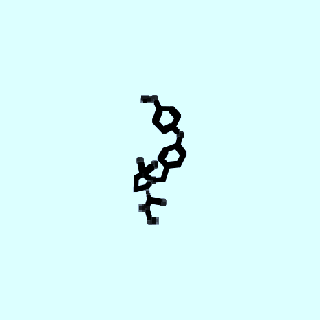 COc1ccc(Oc2ccc(CN3[C@H](C(=O)NO)CCS3(=O)=O)cc2)cc1